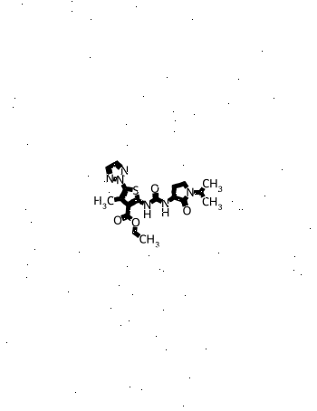 CCOC(=O)c1c(NC(=O)NC2CCN(C(C)C)C2=O)sc(-n2nccn2)c1C